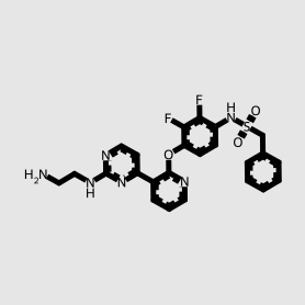 NCCNc1nccc(-c2cccnc2Oc2ccc(NS(=O)(=O)Cc3ccccc3)c(F)c2F)n1